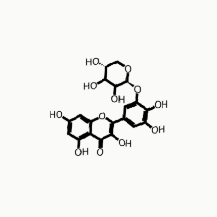 O=c1c(O)c(-c2cc(O)c(O)c(O[C@@H]3OC[C@@H](O)C(O)C3O)c2)oc2cc(O)cc(O)c12